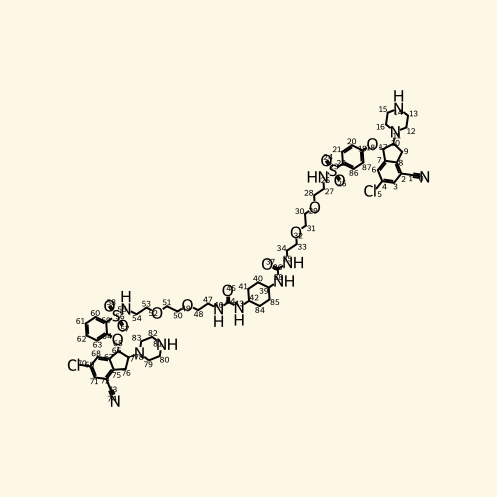 N#Cc1cc(Cl)cc2c1C[C@H](N1CCNCC1)[C@H]2Oc1ccc(S(=O)(=O)NCCOCCOCCNC(=O)NC2CCC(NC(=O)NCCOCCOCCNS(=O)(=O)c3ccccc3O[C@H]3c4cc(Cl)cc(C#N)c4C[C@@H]3N3CCNCC3)CC2)cc1